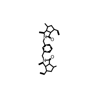 C=CC1CC(C)C2C(=O)N(Cc3cccc(CN4C(=C)C5C(C)CC(C=C)C5C4=O)c3)C(=C)C12